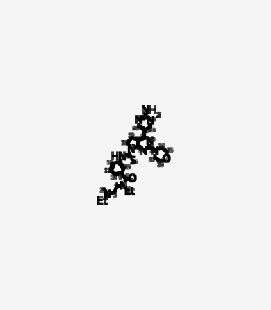 CCN(C)CCN(CC)C(=O)c1cccc(NC(=S)N2CCc3c(-c4cnc(N)nc4)nc(N4CCOCC4)nc32)c1